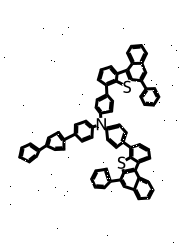 c1ccc(-c2ccc(-c3ccc(N(c4ccc(-c5cccc6c5sc5c(-c7ccccc7)cc7ccccc7c56)cc4)c4ccc(-c5cccc6c5sc5c(-c7ccccc7)cc7ccccc7c56)cc4)cc3)cc2)cc1